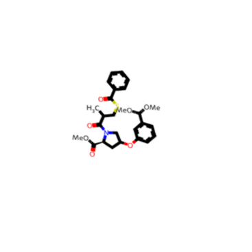 COC(=O)[C@@H]1CC(Oc2cccc(C(OC)OC)c2)CN1C(=O)C(C)CSC(=O)c1ccccc1